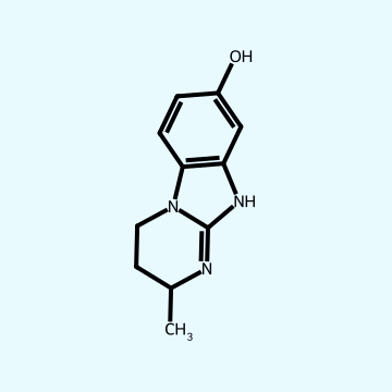 CC1CCN2C(=N1)Nc1cc(O)ccc12